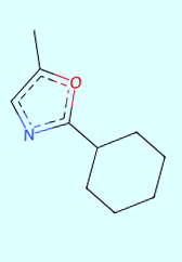 Cc1cnc(C2CCCCC2)o1